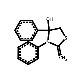 C=C1SCC(O)(c2ccccc2)N1c1ccccc1